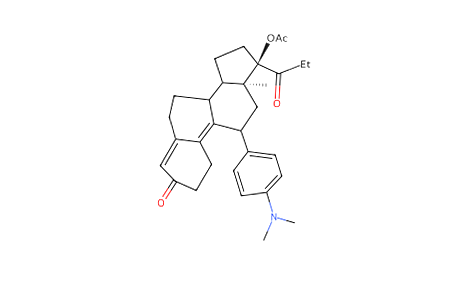 CCC(=O)[C@@]1(OC(C)=O)CCC2C3CCC4=CC(=O)CCC4=C3C(c3ccc(N(C)C)cc3)C[C@@]21C